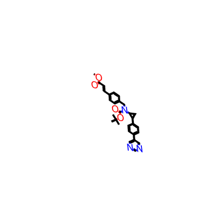 COC(=O)/C=C/c1ccc(CN(C(=O)OC(C)(C)C)C2CC2c2ccc(-c3cncnc3)cc2)cc1